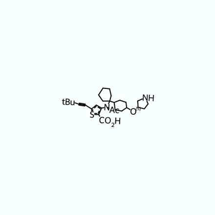 CC(=O)N(c1cc(C#CC(C)(C)C)sc1C(=O)O)C1(C2CCC(O[C@H]3CCNC3)CC2)CCCCC1